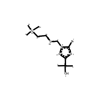 CC(C)(O)c1nc(Br)n(COCC[Si](C)(C)C)n1